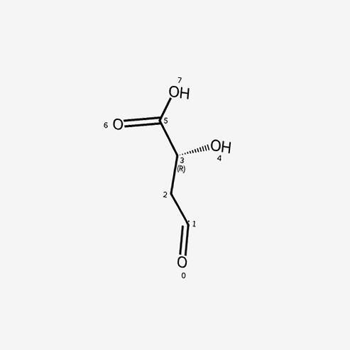 O=[C]C[C@@H](O)C(=O)O